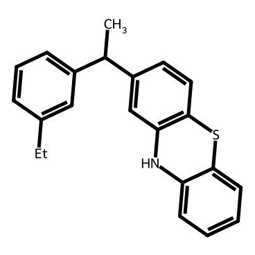 CCc1cccc(C(C)c2ccc3c(c2)Nc2ccccc2S3)c1